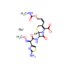 CNC(=O)OC/C=C\C1=C(C(=O)[O-])N2C(=O)C(NC(=O)/C(=N\OC)c3csc(N)n3)[C@@H]2SC1.[Na+]